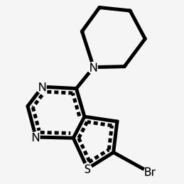 Brc1cc2c(N3CCCCC3)ncnc2s1